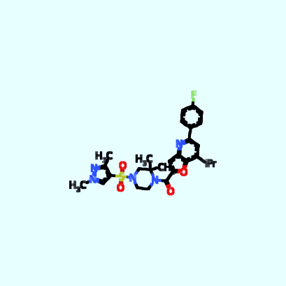 Cc1nn(C)cc1S(=O)(=O)N1CCN(C(=O)c2cc3nc(-c4ccc(F)cc4)cc(C(C)C)c3o2)C(C)(C)C1